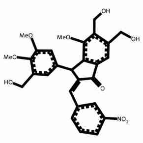 COc1cc(C2/C(=C/c3cccc([N+](=O)[O-])c3)C(=O)c3cc(CO)c(CO)c(OC)c32)cc(CO)c1OC